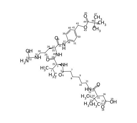 CC(C)[C@H](NC(=O)CCCCCNC(=O)C(CC(=O)O)C(C)(C)C)C(=O)N[C@@H](CCCNC(N)O)C(=O)Nc1ccc(COC(=O)C(C)(C)C)cc1